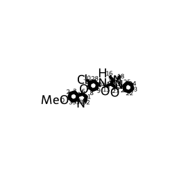 COc1ccc2c(Oc3ccc(NC(=O)c4c(C)n(C)n(-c5ccccc5)c4=O)cc3Cl)ccnc2c1